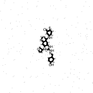 O=C(N/N=C/c1ccc(O)cc1)Nc1cc2c(Nc3ccc(F)c(Cl)c3)ncnc2cc1OC1CCOC1